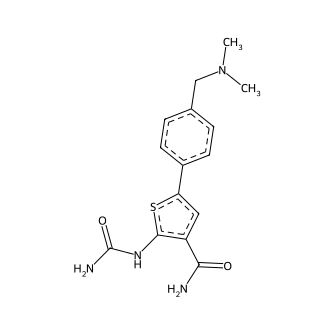 CN(C)Cc1ccc(-c2cc(C(N)=O)c(NC(N)=O)s2)cc1